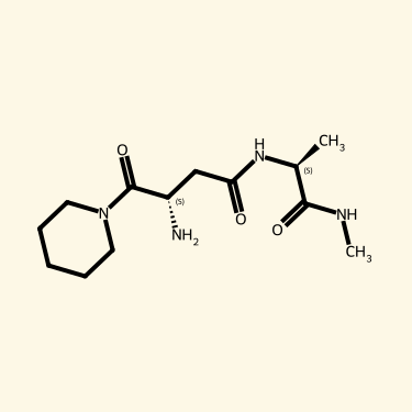 CNC(=O)[C@H](C)NC(=O)C[C@H](N)C(=O)N1CCCCC1